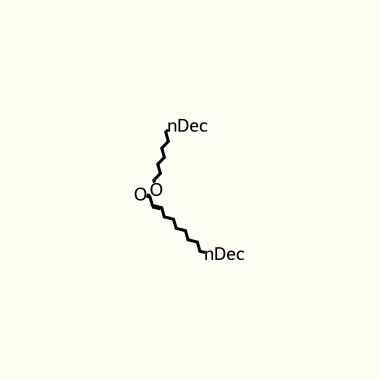 CCCCCCCCCCCCCCCCCC=CC(=O)OCCCCCCCCCCCCCCCCC